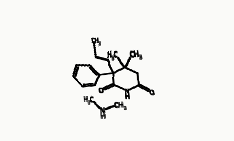 CCCC1(c2ccccc2)C(=O)NC(=O)CC1(C)C.CNC